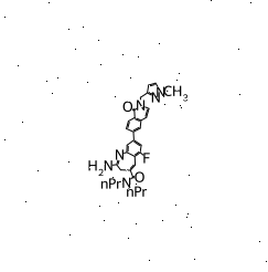 CCCN(CCC)C(=O)C1=Cc2c(F)cc(-c3ccc4c(=O)n(Cc5ccn(C)n5)ccc4c3)cc2N=C(N)C1